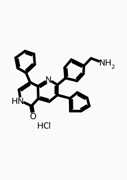 Cl.NCc1ccc(-c2nc3c(-c4ccccc4)c[nH]c(=O)c3cc2-c2ccccc2)cc1